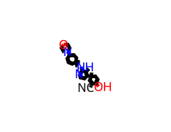 Cc1c(C2(C)C=C(C#N)C(O)=CC2)ccnc1NCC1(C)C=C=CC(N2CCOCC2)=CC1